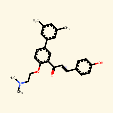 Cc1cc(C)cc(-c2ccc(OCCN(C)C)c(C(=O)/C=C/c3ccc(O)cc3)c2)c1